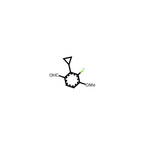 COc1ccc(C=O)c(C2CC2)c1F